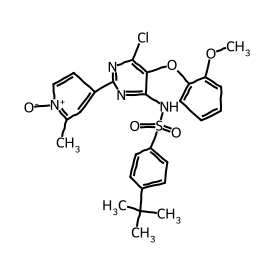 COc1ccccc1Oc1c(Cl)nc(-c2cc[n+]([O-])c(C)c2)nc1NS(=O)(=O)c1ccc(C(C)(C)C)cc1